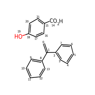 C=C(c1ccccc1)c1ccccc1.O=C(O)c1ccc(O)cc1